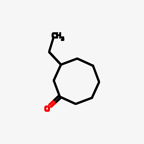 CCC1CCCCCC(=O)C1